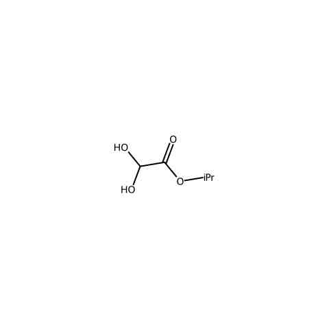 CC(C)OC(=O)C(O)O